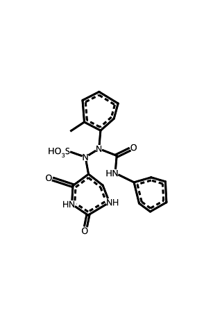 Cc1ccccc1N(C(=O)Nc1ccccc1)N(c1c[nH]c(=O)[nH]c1=O)S(=O)(=O)O